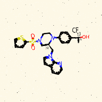 C[C@](O)(c1ccc(N2CCN(S(=O)(=O)c3cccs3)C[C@@H]2Cn2ccc3cccnc32)cc1)C(F)(F)F